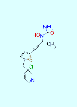 C[C@H](C#Cc1ccc(CC2(Cl)C=CC=NC2)s1)N(O)C(N)=O